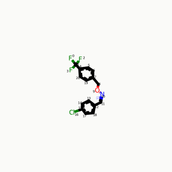 FC(F)(F)c1ccc(CO/N=[C]\c2ccc(Cl)cc2)cc1